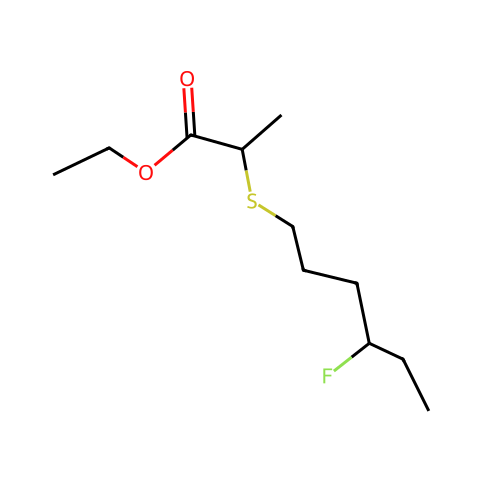 CCOC(=O)C(C)SCCCC(F)CC